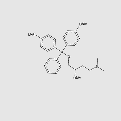 COc1ccc(C(OCC(CCN(C)C)OC)(c2ccccc2)c2ccc(OC)cc2)cc1